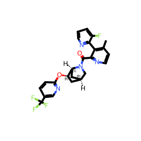 Cc1ccnc(C(=O)N2C[C@H]3C[C@@H](Oc4ccc(C(F)(F)F)cn4)[C@@H]2C3)c1-c1ncccc1F